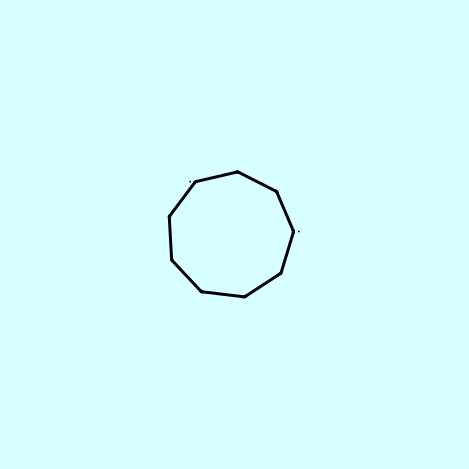 [CH]1CC[CH]CCCCC1